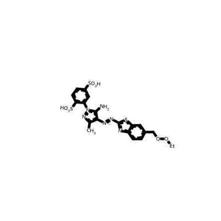 CCOOCc1ccc2nc(/N=N/c3c(C)nn(-c4cc(S(=O)(=O)O)ccc4S(=O)(=O)O)c3N)sc2c1